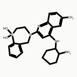 Cc1ccc2nc(N3CCS(O)(O)c4ccccc4C3)cc(NC3CCCCC3N)c2c1